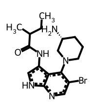 CCC(C)C(=O)Nc1c[nH]c2ncc(Br)c(N3CCC[C@@H](N)C3)c12